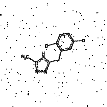 Cc1nnc(Cc2cc(Cl)ccc2Cl)[nH]1